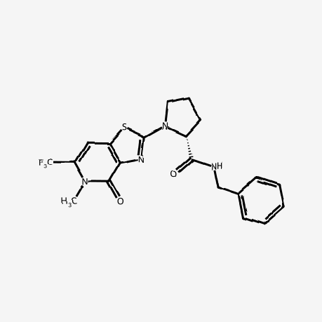 Cn1c(C(F)(F)F)cc2sc(N3CCC[C@@H]3C(=O)NCc3ccccc3)nc2c1=O